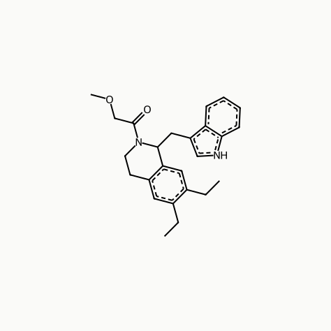 CCc1cc2c(cc1CC)C(Cc1c[nH]c3ccccc13)N(C(=O)COC)CC2